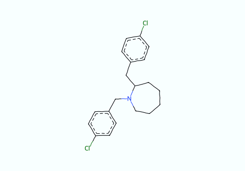 Clc1ccc(CC2CCCCCN2Cc2ccc(Cl)cc2)cc1